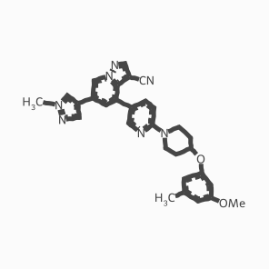 COc1cc(C)cc(OC2CCN(c3ccc(-c4cc(-c5cnn(C)c5)cn5ncc(C#N)c45)cn3)CC2)c1